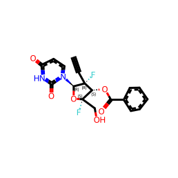 C#C[C@]1(F)[C@H](n2ccc(=O)[nH]c2=O)O[C@](F)(CO)[C@H]1OC(=O)c1ccccc1